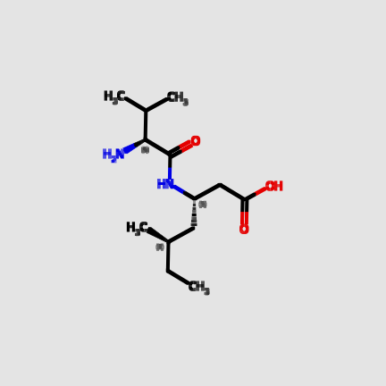 CC[C@@H](C)C[C@@H](CC(=O)O)NC(=O)[C@@H](N)C(C)C